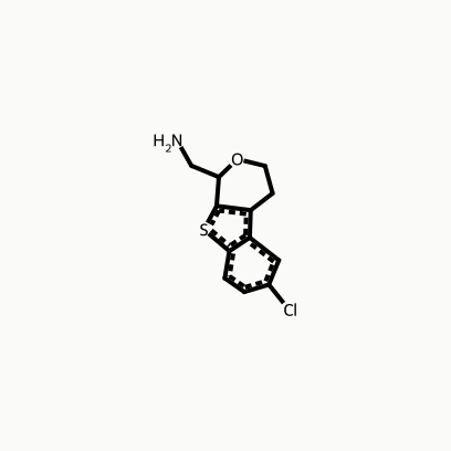 NCC1OCCc2c1sc1ccc(Cl)cc21